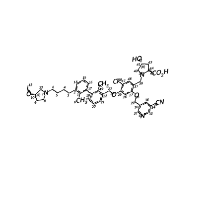 Cc1c(CCCCN2CC[C@@H](OI)C2)cccc1-c1cccc(COc2cc(OCc3cncc(C#N)c3)c(CN3C[C@H](O)C[C@H]3C(=O)O)cc2Cl)c1C